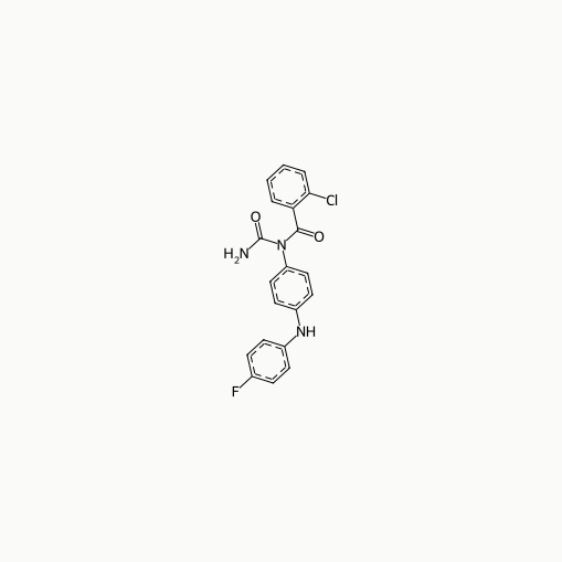 NC(=O)N(C(=O)c1ccccc1Cl)c1ccc(Nc2ccc(F)cc2)cc1